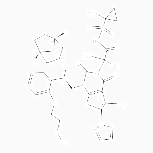 COCCOc1ccccc1[C@H](Cn1c(=O)n(C(C)(C)C(=O)NS(=O)(=O)C2(C)CC2)c(=O)c2c(C)c(-n3nccn3)sc21)O[C@H]1C[C@H]2CC[C@@H](C1)O2